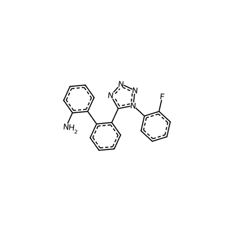 Nc1ccccc1-c1ccccc1-c1nnnn1-c1ccccc1F